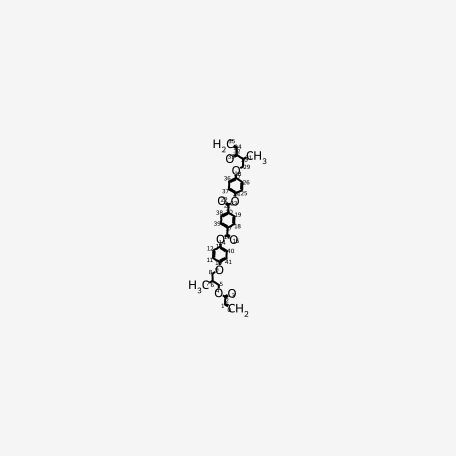 C=CC(=O)OCC(C)COc1ccc(OC(=O)c2ccc(C(=O)Oc3ccc(OCC(C)C(=O)C=C)cc3)cc2)cc1